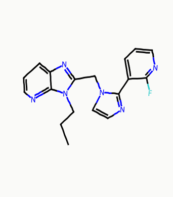 CCCn1c(Cn2ccnc2-c2cccnc2F)nc2cccnc21